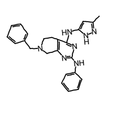 Cc1cc(Nc2nc(Nc3ccccc3)nc3c2CCN(Cc2ccccc2)C3)[nH]n1